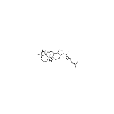 CC(C)=CCO[C@@H](C)[C@H]1CCC2=C3C=C[C@H]4C(C)(C)CCC[C@]4(C)[C@H]3CC[C@@]21C